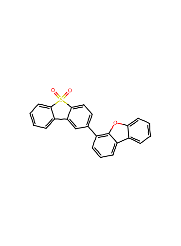 O=S1(=O)c2ccccc2-c2cc(-c3cccc4c3oc3ccccc34)ccc21